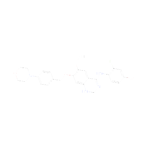 COc1cc2c(cc1OCc1ccc(N3CCOCC3)cc1)NCN=C2Nc1ccc(Br)cc1F